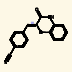 N#Cc1ccc(/C=C2\Oc3ccccc3NC2=O)cc1